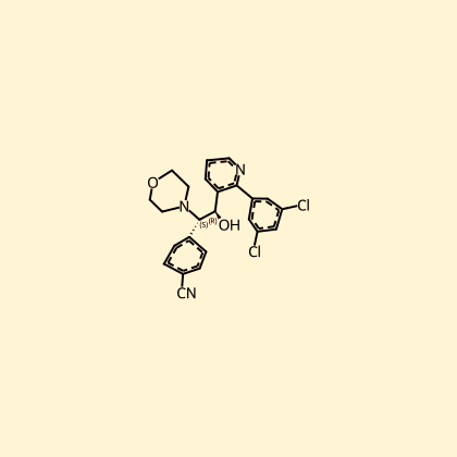 N#Cc1ccc([C@@H]([C@H](O)c2cccnc2-c2cc(Cl)cc(Cl)c2)N2CCOCC2)cc1